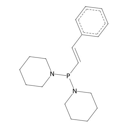 C(=CP(N1CCCCC1)N1CCCCC1)c1ccccc1